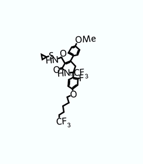 COc1ccc(C2=C(C(=O)NSC3CC3)C(=O)N[C@@](c3ccc(OCCCCCC(F)(F)F)cc3F)(C(F)(F)F)C2)cc1